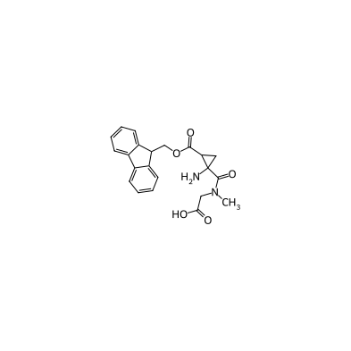 CN(CC(=O)O)C(=O)C1(N)CC1C(=O)OCC1c2ccccc2-c2ccccc21